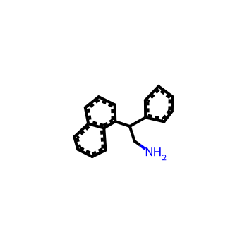 NCC(c1ccccc1)c1cccc2ccccc12